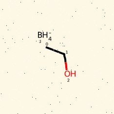 CCO.[BH4-]